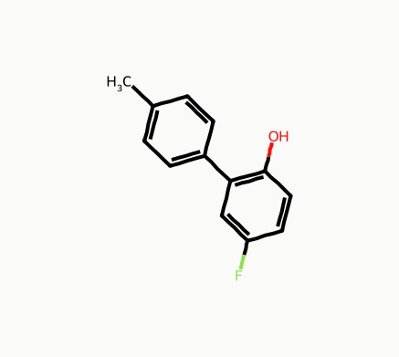 Cc1ccc(-c2cc(F)ccc2O)cc1